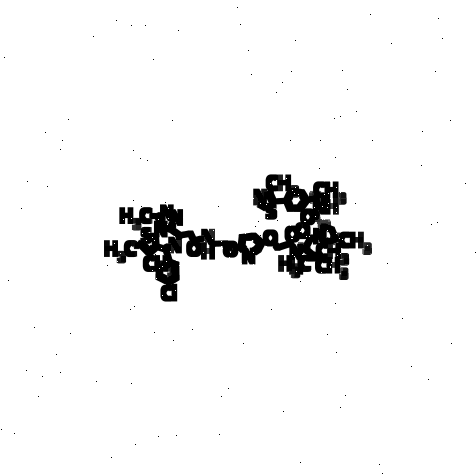 Cc1ncsc1-c1ccc([C@H](C)NC(=O)[C@@H]2C[C@@H](C)CN2C(=O)[C@@H](NC(=O)COc2ccc(OCCNC(=O)CC3N=C(c4ccc(Cl)cc4)c4c(sc(C)c4C)-n4c(C)nnc43)nc2)C(C)(C)C)cc1